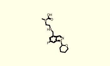 CN(CCNCc1cc(F)cc2c1cnn2C1CCCCO1)C(=O)O